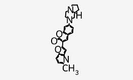 Cc1ccc2oc(-c3cc4ccc(N5CCN6CCC[C@H]6C5)cc4oc3=O)cc2n1